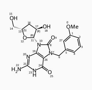 COc1cccc(Cn2c(=O)n([C@@H]3O[C@H](CO)C[C@H]3O)c3nc(N)[nH]c(=O)c32)c1